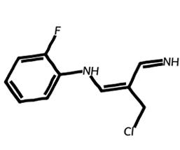 N=C/C(=C\Nc1ccccc1F)CCl